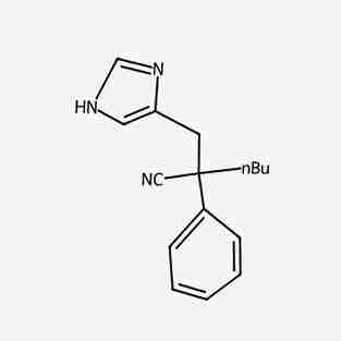 CCCCC(C#N)(Cc1c[nH]cn1)c1ccccc1